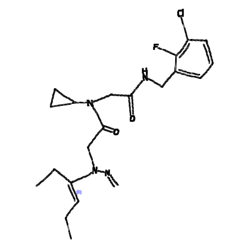 C=NN(CC(=O)N(CC(=O)NCc1cccc(Cl)c1F)C1CC1)/C(=C/CC)CC